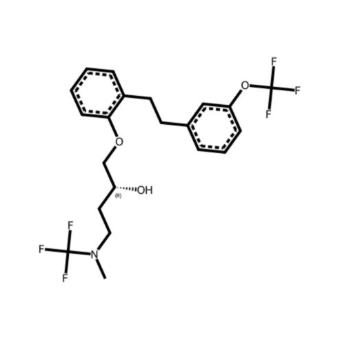 CN(CC[C@@H](O)COc1ccccc1CCc1cccc(OC(F)(F)F)c1)C(F)(F)F